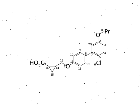 CC(C)Oc1ccc(Cl)c(-c2ccc(OCC3CC3C(=O)O)cc2)c1